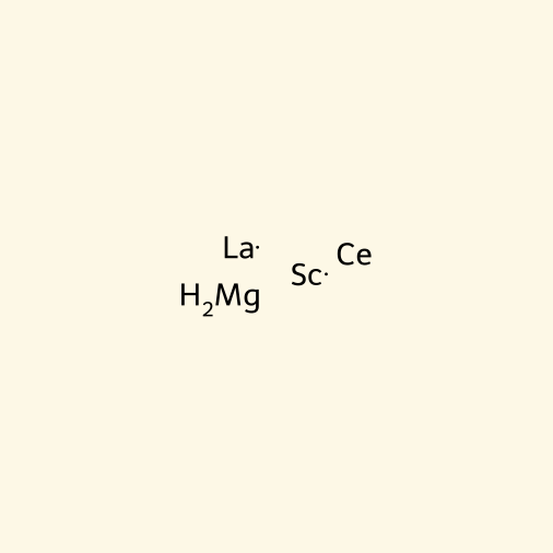 [Ce].[La].[MgH2].[Sc]